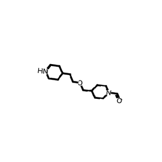 O=CN1CCC(COCCC2CCNCC2)CC1